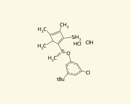 Cl.Cl.[CH2]=[Ti]([O]c1cc(Cl)cc(C(C)(C)C)c1)[C]1=C([SiH3])C(C)=C(C)C1C